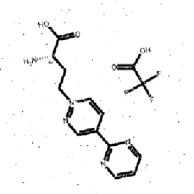 N[C@@H](CC[n+]1ccc(-c2ncccn2)cn1)C(=O)O.O=C(O)C(F)(F)F